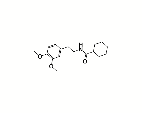 COc1ccc(CCNC(=O)C2CCCCC2)cc1OC